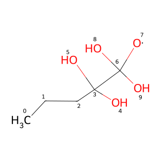 CCCC(O)(O)C([O])(O)O